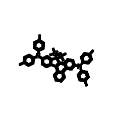 Cc1ccc(N(c2ccc(C)cc2)c2ccc3c(c2)C([Si](C)(C)C)([Si](C)(C)C)c2c-3c3ccccc3c3cc(N(c4ccc(C)cc4)c4ccc(C)cc4)ccc23)cc1